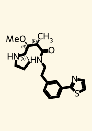 CO[C@@H]([C@@H]1CCCN1)[C@@H](C)C(=O)NCCc1cccc(-c2nccs2)c1